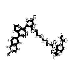 C=CC(=O)N1CCC(OC(=O)NCCOCCOc2cc(F)ccc2-c2nnc(-c3ccc4c(c3)CCN(C)C4)c3ccsc23)(C(F)(F)F)C1